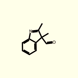 CC1=Nc2ccccc2C1(C)C=O